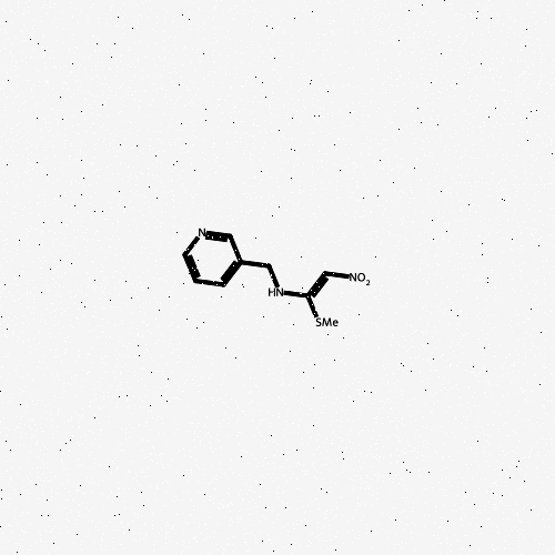 CSC(=C[N+](=O)[O-])NCc1cccnc1